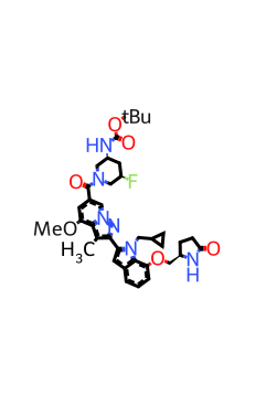 COc1cc(C(=O)N2C[C@H](F)C[C@@H](NC(=O)OC(C)(C)C)C2)cn2nc(-c3cc4cccc(OC[C@H]5CCC(=O)N5)c4n3CC3CC3)c(C)c12